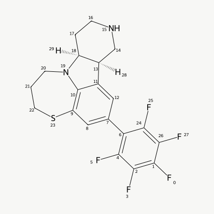 Fc1c(F)c(F)c(-c2cc3c4c(c2)[C@@H]2CNCC[C@@H]2N4CCCS3)c(F)c1F